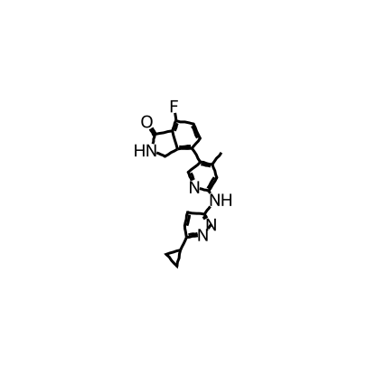 Cc1cc(Nc2ccc(C3CC3)nn2)ncc1-c1ccc(F)c2c1CNC2=O